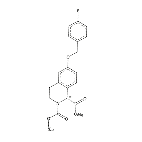 COC(=O)[C@H]1c2ccc(OCc3ccc(F)cc3)cc2CCN1C(=O)OC(C)(C)C